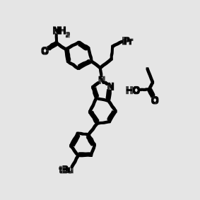 CC(C)CCC(c1ccc(C(N)=O)cc1)n1cc2cc(-c3ccc(C(C)(C)C)cc3)ccc2n1.CCC(=O)O